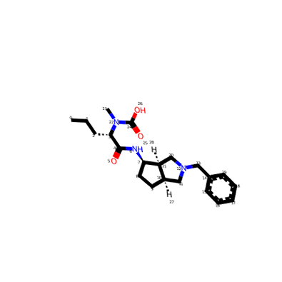 CCC[C@@H](C(=O)N[C@@H]1CC[C@@H]2CN(Cc3ccccc3)C[C@@H]21)N(C)C(=O)O